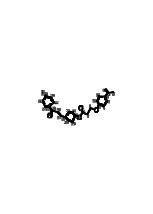 C=C(C)c1ccc(OCCC(=O)Oc2ccc(C=CC(=O)c3ccc(F)cc3)cc2)cc1